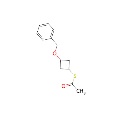 CC(=O)SC1CC(OCc2ccccc2)C1